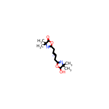 CC1(C)N=C(C/C=C/CC2=NC(C)(C)C(O)O2)OC1=O